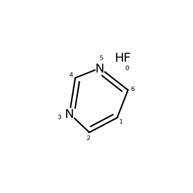 F.c1cncnc1